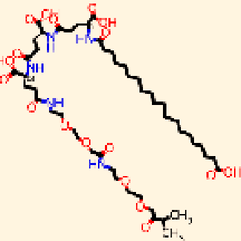 CC(C)C(=O)COCCOCCNC(=O)COCCOCCNC(=O)CC[C@H](NC(=O)CC[C@H](NC(=O)CC[C@H](NC(=O)CCCCCCCCCCCCCCCCCCC(=O)O)C(=O)O)C(=O)O)C(=O)O